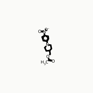 CC(=O)OCC1CCN(c2ccc([N+](=O)[O-])cc2)CC1